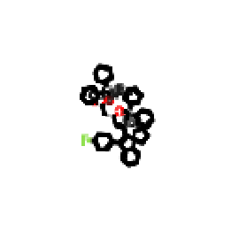 CC(C)(C)[Si](O[C@@H](CC(=O)O)C[C@@H](/C=C/C1=C(c2ccc(F)cc2)c2ccccc2C12CCCC2)O[Si](c1ccccc1)(c1ccccc1)C(C)(C)C)(c1ccccc1)c1ccccc1